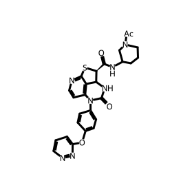 CC(=O)N1CCCC(NC(=O)[C@@H]2Sc3nccc4c3C2NC(=O)N4c2ccc(Oc3cccnn3)cc2)C1